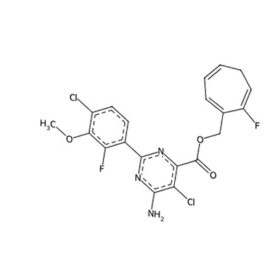 COc1c(Cl)ccc(-c2nc(N)c(Cl)c(C(=O)OCC3=CC=CCC=C3F)n2)c1F